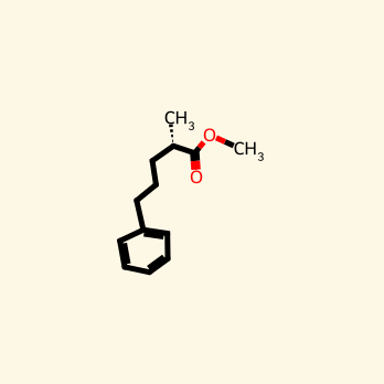 COC(=O)[C@@H](C)CCCc1ccccc1